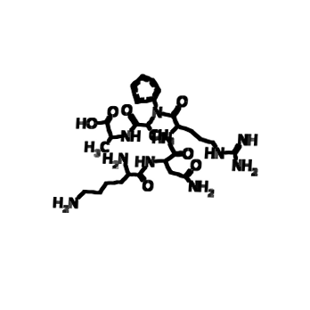 CC(NC(=O)C(C)N(C(=O)C(CCCNC(=N)N)NC(=O)C(CC(N)=O)NC(=O)C(N)CCCCN)c1ccccc1)C(=O)O